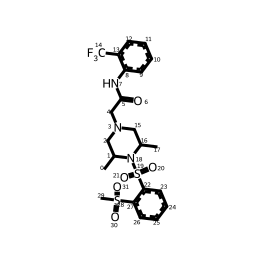 CC1CN(CC(=O)Nc2ccccc2C(F)(F)F)CC(C)N1S(=O)(=O)c1ccccc1S(C)(=O)=O